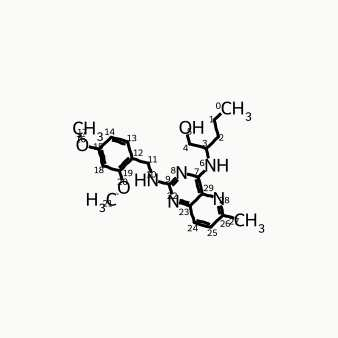 CCCC(CO)Nc1nc(NCc2ccc(OC)cc2OC)nc2ccc(C)nc12